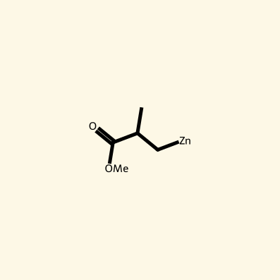 COC(=O)C(C)[CH2][Zn]